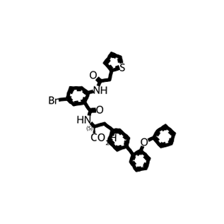 O=C(Cc1cccs1)Nc1ccc(Br)cc1C(=O)N[C@@H](Cc1ccc(-c2ccccc2Oc2ccccc2)cc1)C(=O)O